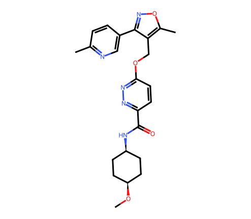 CO[C@H]1CC[C@@H](NC(=O)c2ccc(OCc3c(-c4ccc(C)nc4)noc3C)nn2)CC1